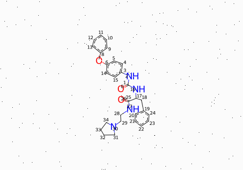 O=C(Nc1ccc(Oc2ccccc2)cc1)NC(Cc1ccccc1)C(=O)NCCN1CCCC1